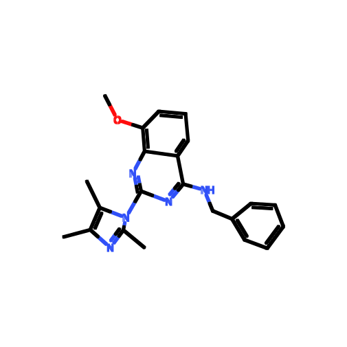 COc1cccc2c(NCc3ccccc3)nc(-n3c(C)nc(C)c3C)nc12